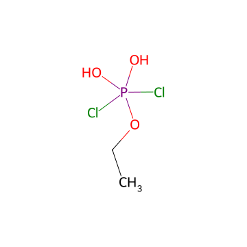 CCOP(O)(O)(Cl)Cl